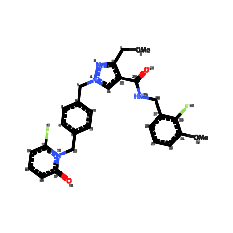 COCc1nn(Cc2ccc(Cn3c(F)cccc3=O)cc2)cc1C(=O)NCc1cccc(OC)c1F